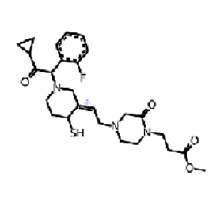 COC(=O)CCN1CCN(C/C=C2/CN(C(C(=O)C3CC3)c3ccccc3F)CCC2S)CC1=O